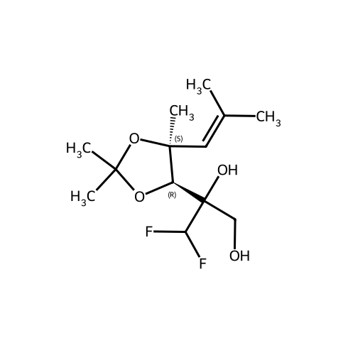 CC(C)=C[C@]1(C)OC(C)(C)O[C@@H]1C(O)(CO)C(F)F